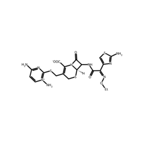 CCO/N=C(\C(=O)NC1C(=O)N2C(C(=O)[O-])=C(CSc3nc(N)cc[n+]3N)CS[C@H]12)c1csc(N)n1